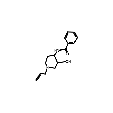 C=CCN1CCC(NC(=O)c2ccccc2)C(O)C1